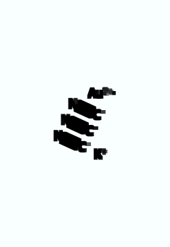 [Au+2].[C-]#N.[C-]#N.[C-]#N.[K+]